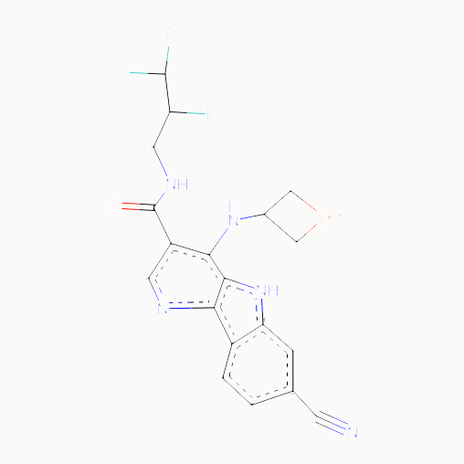 N#Cc1ccc2c(c1)[nH]c1c(NC3COC3)c(C(=O)NCC(F)C(F)F)cnc12